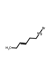 CC/C=C/C[CH2][Mg][Br]